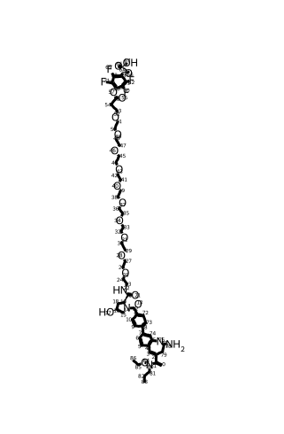 C=C(C1=Cc2ccc(-c3ccc(C(=O)N4C[C@H](O)C[C@H]4C(=O)NCCOCCOCCOCCOCCOCCOCCOCCOCCOCCOCCC(=O)Oc4c(F)c(F)c(S(=O)(=O)O)c(F)c4F)cc3)cc2N=C(N)C1)N(CCC)OCC